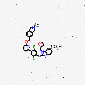 CC(=O)N1Cc2ccc(COc3cccc(-c4cc(F)c(Cc5nc6ccc(C(=O)O)cc6n5CC5CCO5)cc4F)n3)cc2C1